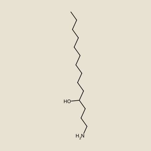 CCCCCCCCCCC(O)CCCN